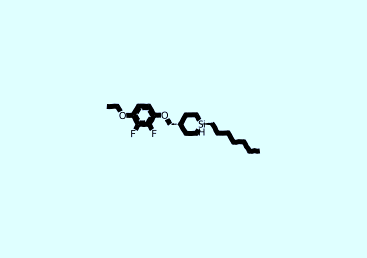 CCCCCCC[Si@H]1CC[C@H](COc2ccc(OCC)c(F)c2F)CC1